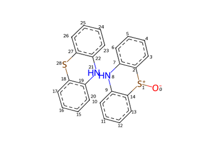 [O-][S+]1c2ccccc2Nc2ccccc21.c1ccc2c(c1)Nc1ccccc1S2